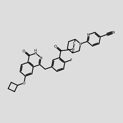 N#Cc1ccc(N2CC3CCC2CN3C(=O)c2cc(Cc3n[nH]c(=O)c4ccc(OC5CCC5)cc34)ccc2F)nc1